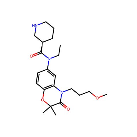 CCN(C(=O)[C@@H]1CCCNC1)c1ccc2c(c1)N(CCCOC)C(=O)C(C)(C)O2